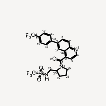 O=C(c1ccnc2ccc(-c3ccc(C(F)(F)F)cc3)cc12)N1CCCC1CNS(=O)(=O)C(F)(F)F